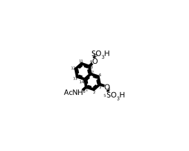 CC(=O)Nc1cc(OS(=O)(=O)O)cc2c(OS(=O)(=O)O)cccc12